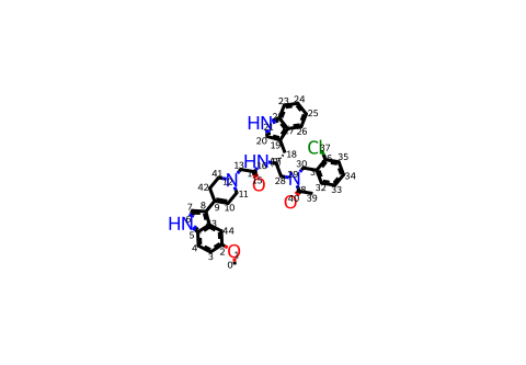 COc1ccc2[nH]cc(C3=CCN(CC(=O)N[C@H](Cc4c[nH]c5ccccc45)CN(Cc4ccccc4Cl)C(C)=O)CC3)c2c1